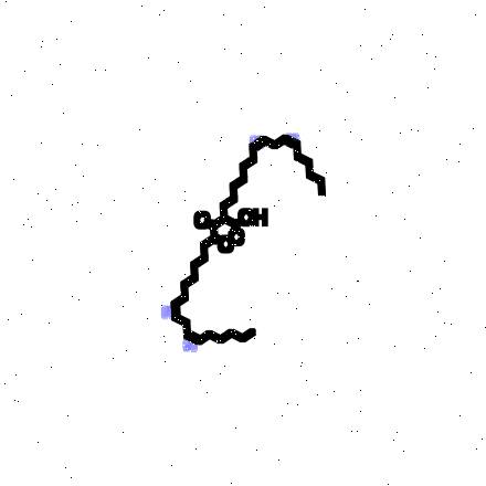 CCCCC/C=C\C/C=C\CCCCCCC(=O)C(=O)C(CCCCCC/C=C\C/C=C\CCCCC)C(=O)O